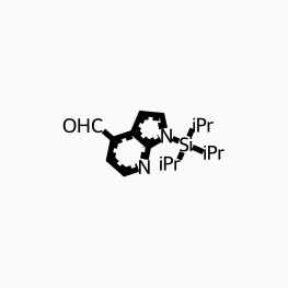 CC(C)[Si](C(C)C)(C(C)C)n1ccc2c(C=O)ccnc21